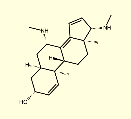 CN[C@H]1C[C@@H]2C[C@@H](O)C=C[C@]2(C)[C@H]2CC[C@@]3(C)C(=C12)C=C[C@@H]3NC